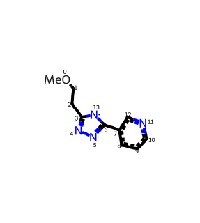 COCCC1=NN=C(c2cccnc2)[N]1